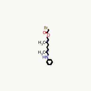 C/C(=C\COC(=O)CBr)CC/C=C(\C)CNc1ccccc1